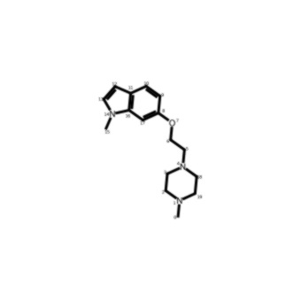 CN1CCN(CCOc2ccc3ccn(C)c3c2)CC1